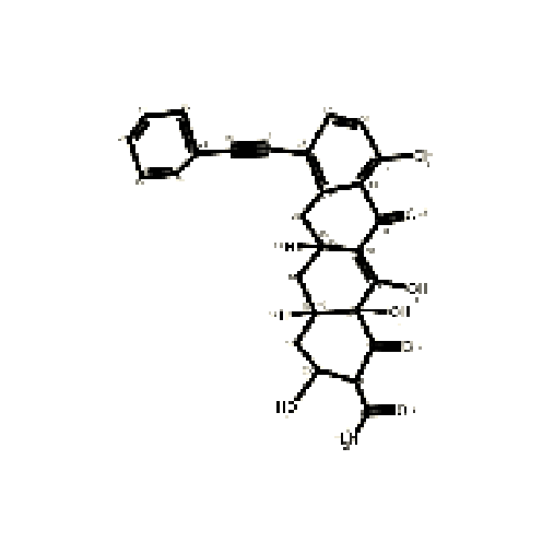 NC(=O)C1C(=O)[C@@]2(O)C(O)=C3C(=O)c4c(O)ccc(C#Cc5ccccc5)c4C[C@H]3C[C@H]2CC1O